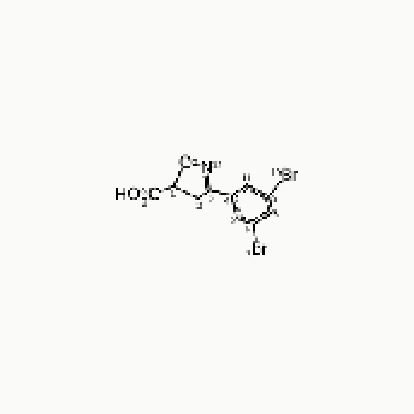 O=C(O)C1CC(c2cc(Br)cc(Br)c2)=NO1